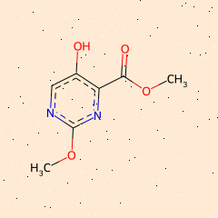 COC(=O)c1nc(OC)ncc1O